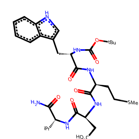 CSCC[C@H](NC(=O)[C@H](Cc1c[nH]c2ccccc12)NC(=O)OC(C)(C)C)C(=O)N[C@@H](CC(=O)O)C(=O)N[C@@H](C(N)=O)C(C)C